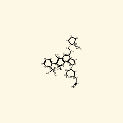 Cc1cc2c(nc(OC[C@@H]3CCCN3C)c3nnn([C@H]4CCN[C@H](CC#N)C4)c32)c(F)c1-c1cccnc1C(F)(F)F